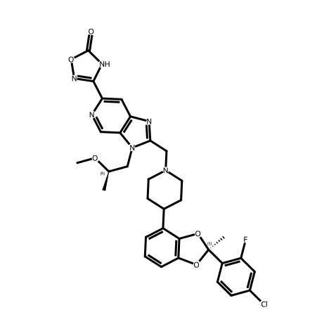 CO[C@H](C)Cn1c(CN2CCC(c3cccc4c3O[C@@](C)(c3ccc(Cl)cc3F)O4)CC2)nc2cc(-c3noc(=O)[nH]3)ncc21